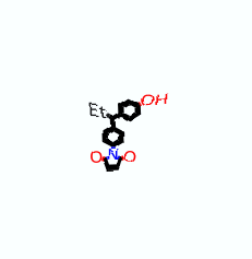 CCC(c1ccc(O)cc1)c1ccc(N2C(=O)C=CC2=O)cc1